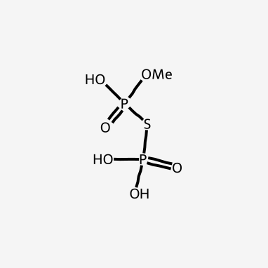 COP(=O)(O)SP(=O)(O)O